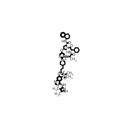 CN[C@@H](C)C(=O)N[C@H](C(=O)N1C[C@@H](Oc2cnc(N3CCC(CCCOc4cc5ncnc(Nc6n[nH]c(C)c6C)c5cc4S(=O)(=O)C(C)(C)C)CC3)nc2)C[C@H]1C(=O)N[C@@H]1CCCc2ccccc21)C1CCCCC1